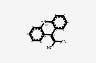 N#CC(C#N)=C1c2ccccc2Nc2ccccc21